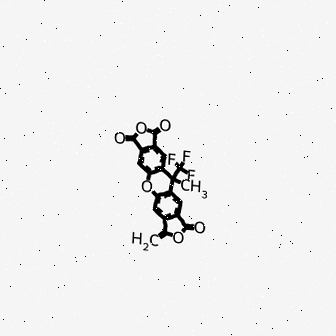 C=C1OC(=O)c2cc3c(cc21)Oc1cc2c(cc1C3(C)C(F)(F)F)C(=O)OC2=O